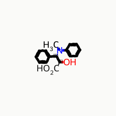 CN(c1ccccc1)[C@@H](c1ccccc1)[C@H](O)C(=O)O